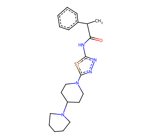 CC(C(=O)Nc1nnc(N2CCC(N3CCCCC3)CC2)s1)c1ccccc1